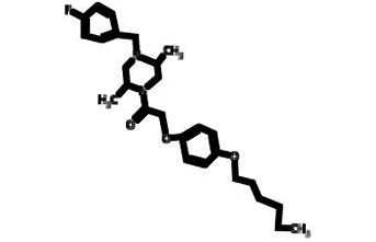 CCCCCCOc1ccc(OCC(=O)N2CC(C)N(Cc3ccc(F)cc3)CC2C)cc1